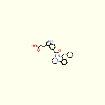 O=C(O)CCc1c[nH]c2ccc(CC(=O)NC(CC3CCCCC3)c3ccccc3N3CCCCC3)cc12